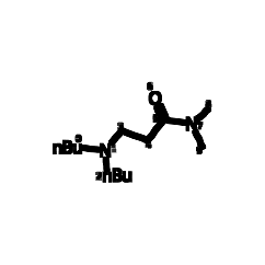 CCCCN(CCCC)CCC(=O)N(C)C